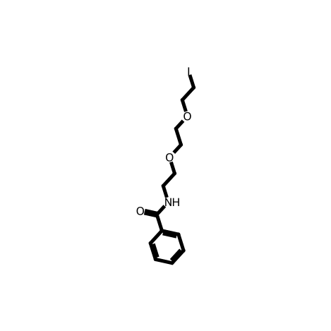 O=C(NCCOCCOCCI)c1ccccc1